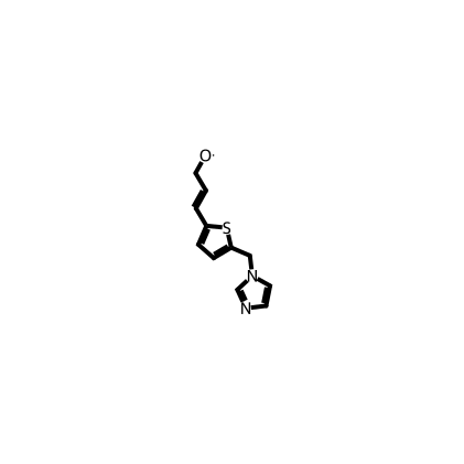 [O]CC=Cc1ccc(Cn2ccnc2)s1